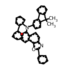 CC1(C)c2ccccc2-c2cc(N(c3ccccc3-c3ccccc3)c3cccc4c3ccc3nc(-c5ccccc5)oc34)ccc21